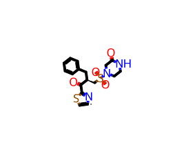 O=C1CN(S(=O)(=O)C[C@H](Cc2ccccc2)C(=O)c2n[c]cs2)CCN1